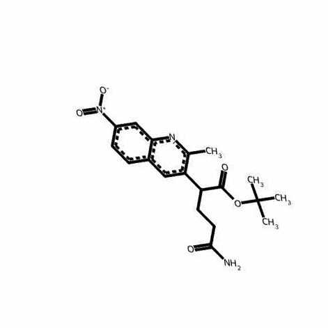 Cc1nc2cc([N+](=O)[O-])ccc2cc1C(CCC(N)=O)C(=O)OC(C)(C)C